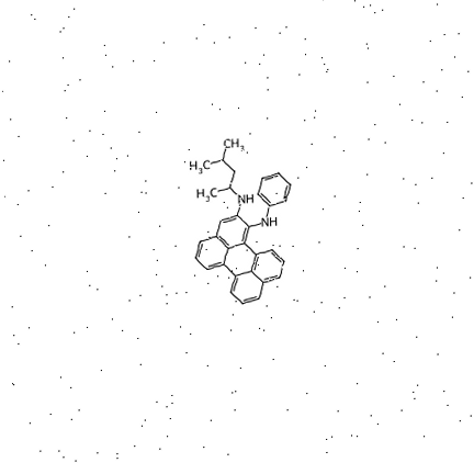 CC(C)CC(C)Nc1cc2cccc3c4cccc5cccc(c(c1Nc1ccccc1)c23)c54